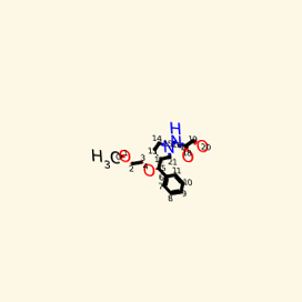 COCCO[C@@H](c1ccccc1)[C@@H]1CCN(NC(=O)C=O)C1